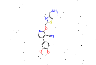 N#Cc1c(-c2ccc3c(c2)OCCO3)ccnc1OCc1nc(CN)cs1